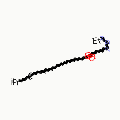 CC/C=C\C/C=C\C/C=C\CCCCCCCC(=O)OCCCCCCCCCCCCCCCCCCCCCCCCCCCCCCCCCCCCC(C)C